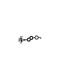 CCC1CCC(c2ccc3cc(C#CC(F)(F)F)ccc3c2)CC1